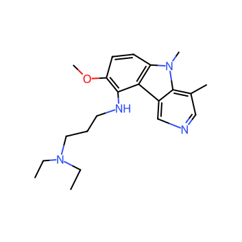 CCN(CC)CCCNc1c(OC)ccc2c1c1cncc(C)c1n2C